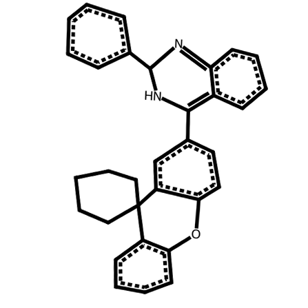 c1ccc(C2N=c3ccccc3=C(c3ccc4c(c3)C3(CCCCC3)c3ccccc3O4)N2)cc1